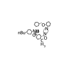 CCCCc1ccc(NS(=O)(=O)c2ccc(C)c(C(=O)N3CCN(c4ccccc4OCc4ccccc4)CC3)c2)cc1